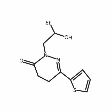 CCC(O)CN1N=C(c2cccs2)CCC1=O